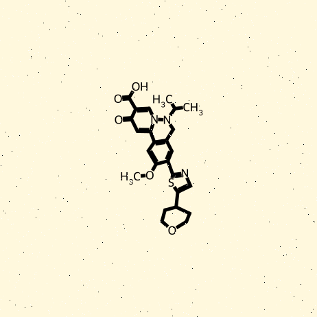 COc1cc2c(cc1-c1ncc(C3CCOCC3)s1)CN(C(C)C)n1cc(C(=O)O)c(=O)cc1-2